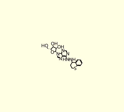 OC[C@H]1O[C@@H](n2cnc3c(NNC4CCSc5ccccc54)ncnc32)[C@H](O)[C@@H]1O